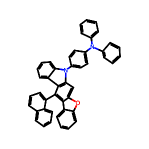 c1ccc(N(c2ccccc2)c2ccc(-n3c4ccccc4c4c(-c5cccc6ccccc56)c5c(cc43)oc3ccccc35)cc2)cc1